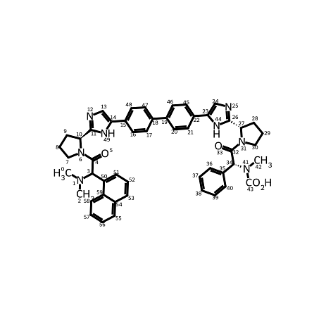 CN(C)C(C(=O)N1CCC[C@H]1c1ncc(-c2ccc(-c3ccc(-c4cnc([C@@H]5CCCN5C(=O)[C@@H](c5ccccc5)N(C)C(=O)O)[nH]4)cc3)cc2)[nH]1)c1cccc2ccccc12